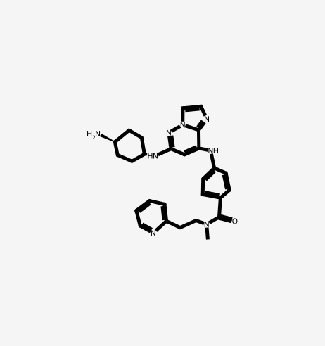 CN(CCc1ccccn1)C(=O)c1ccc(Nc2cc(N[C@H]3CC[C@H](N)CC3)nn3ccnc23)cc1